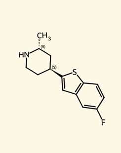 C[C@@H]1C[C@@H](c2cc3cc(F)ccc3s2)CCN1